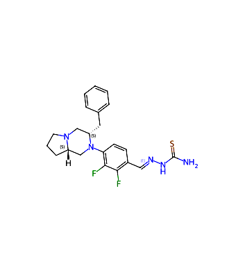 NC(=S)N/N=C/c1ccc(N2C[C@@H]3CCCN3C[C@@H]2Cc2ccccc2)c(F)c1F